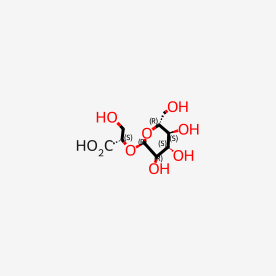 O=C(O)[C@H](CO)O[C@H]1O[C@H](CO)[C@@H](O)[C@H](O)[C@H]1O